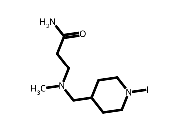 CN(CCC(N)=O)CC1CCN(I)CC1